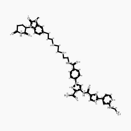 Cn1c(=O)n(C2CCC(=O)NC2=O)c2ccc(CCCOCCOCCNC(=O)c3ccc(-n4cc(NC(=O)c5coc(-c6ccnc(NCC(F)(F)F)c6)n5)c(C(N)=O)n4)cc3)cc21